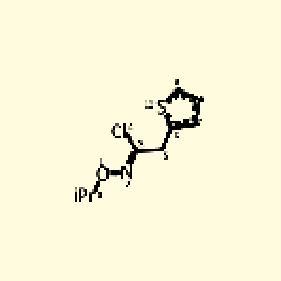 CC(C)ON=C(Cl)Cc1cccs1